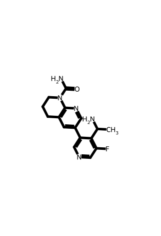 CC(N)c1c(F)cncc1-c1cnc2c(c1)CCCN2C(N)=O